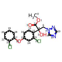 COC(=O)C(O)(Cn1cncn1)c1ccc(Oc2ccccc2Cl)cc1Cl